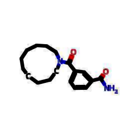 NC(=O)c1cccc(C(=O)N2CCCCCCCCCC2)c1